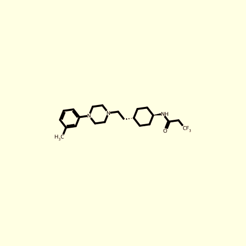 Cc1cccc(N2CCN(CC[C@H]3CC[C@H](NC(=O)CC(F)(F)F)CC3)CC2)c1